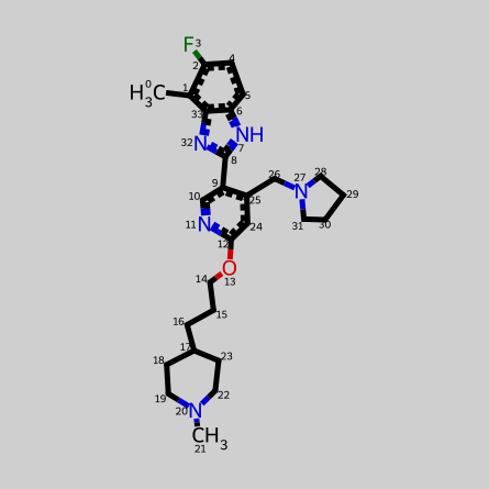 Cc1c(F)ccc2[nH]c(-c3cnc(OCCCC4CCN(C)CC4)cc3CN3CCCC3)nc12